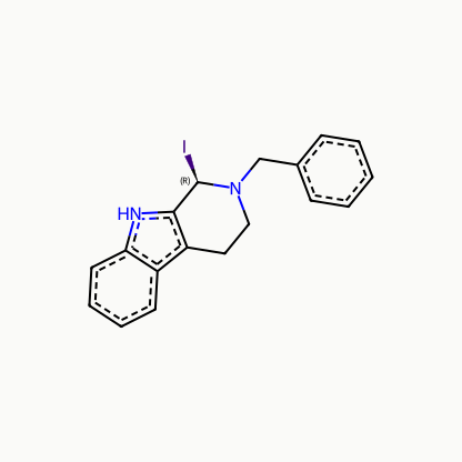 I[C@@H]1c2[nH]c3ccccc3c2CCN1Cc1ccccc1